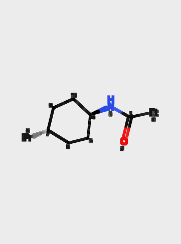 CCC(=O)N[C@H]1CC[C@H](C(C)C)CC1